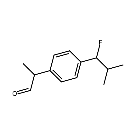 CC(C=O)c1ccc(C(F)C(C)C)cc1